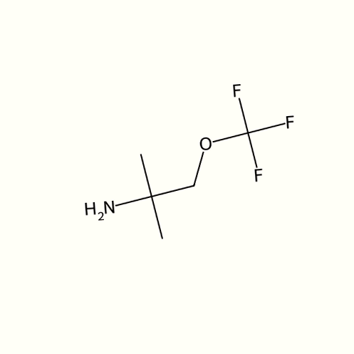 CC(C)(N)COC(F)(F)F